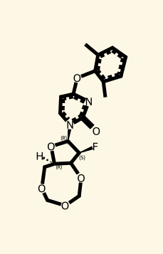 Cc1cccc(C)c1Oc1ccn([C@@H]2O[C@@H]3COCOCOC3[C@@H]2F)c(=O)n1